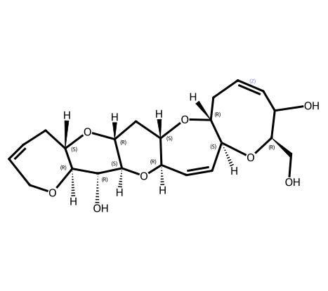 OC[C@H]1O[C@H]2C=C[C@H]3O[C@H]4[C@H](O)[C@H]5OCC=CC[C@@H]5O[C@@H]4C[C@@H]3O[C@@H]2C/C=C\C1O